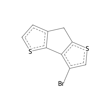 Brc1csc2c1-c1sccc1C2